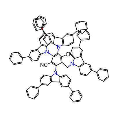 N#Cc1c(Cn2c3ccc(-c4ccccc4)cc3c3cc(-c4ccccc4)ccc32)c(-n2c3ccc(-c4ccccc4)cc3c3cc(-c4ccccc4)ccc32)c(C#N)c(-n2c3ccc(-c4ccccc4)cc3c3cc(-c4ccccc4)ccc32)c1-n1c2ccc(-c3ccccc3)cc2c2cc(-c3ccccc3)ccc21